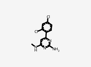 CNc1cc(-c2ccc(Cl)cc2Cl)nc(N)n1